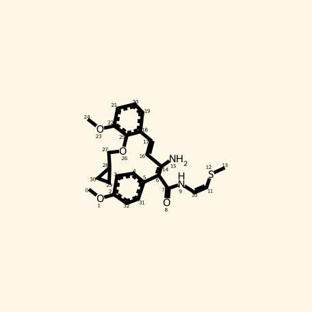 COc1ccc(/C(C(=O)N/C=C\SC)=C(N)\C=C\c2cccc(OC)c2OCC2CC2)cc1